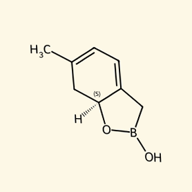 CC1=CC=C2CB(O)O[C@H]2C1